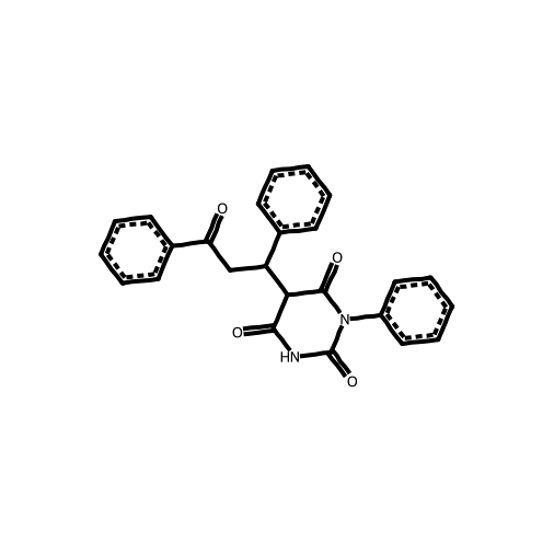 O=C(CC(c1ccccc1)C1C(=O)NC(=O)N(c2ccccc2)C1=O)c1ccccc1